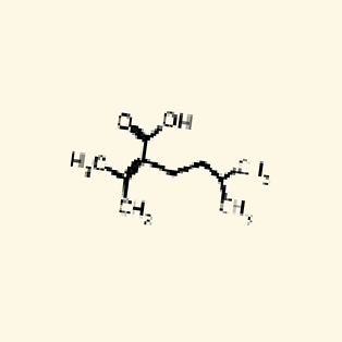 CC(C)=C(CCC(C)C)C(=O)O